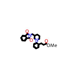 COC(=O)CCc1ccccc1N1CCCC(CN2C(=O)c3ccccc3C2=O)C1